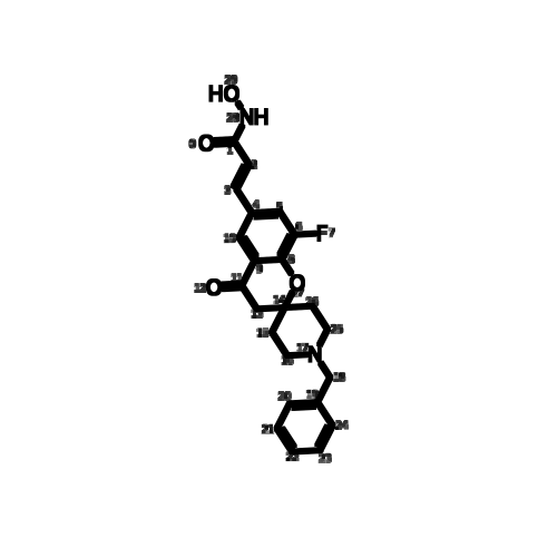 O=C(/C=C/c1cc(F)c2c(c1)C(=O)CC1(CCN(Cc3ccccc3)CC1)O2)NO